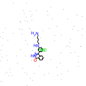 Cl.Cl.NCCCCCNc1cccc(-c2n[nH]c(=O)c3ccccc23)c1